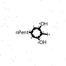 CCCCCc1cc(O)c(I)c(O)c1